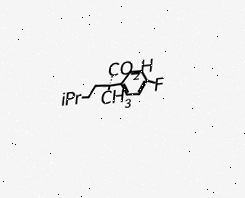 CC(C)CC[C@@](C)(C(=O)O)c1ccc(F)cc1